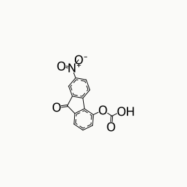 O=C(O)Oc1cccc2c1-c1ccc([N+](=O)[O-])cc1C2=O